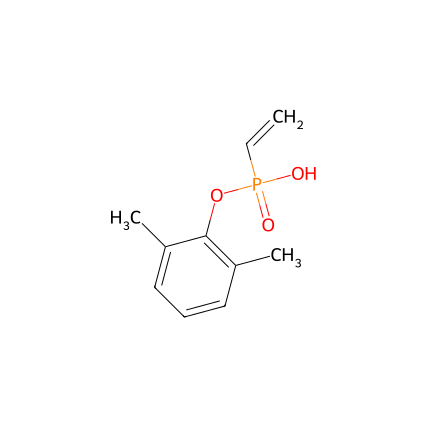 C=CP(=O)(O)Oc1c(C)cccc1C